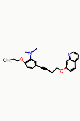 CN(C)c1cc(C#CCCOc2ccc3cccnc3c2)ccc1OCCC=O